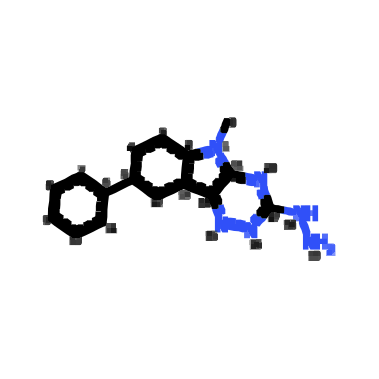 Cn1c2ccc(-c3ccccc3)cc2c2nnc(NN)nc21